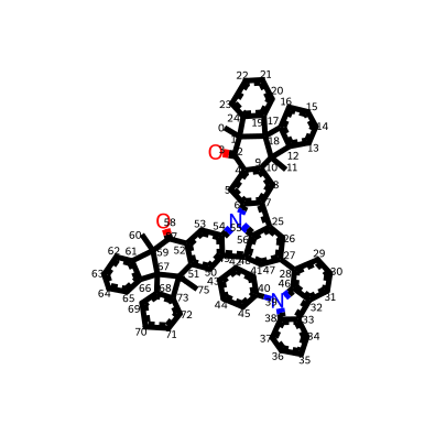 CC12C(=O)c3cc4c(cc3C3(C)c5ccccc5C13c1ccccc12)c1cc(-c2cccc3c5ccccc5n(-c5ccccc5)c23)cc2c3cc5c(cc3n4c12)C(=O)C1(C)c2ccccc2C12c1ccccc1C52C